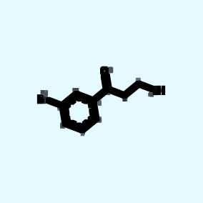 O=C(CCS)c1cccc(Br)c1